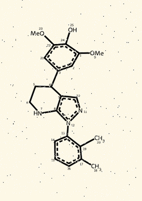 COc1cc(C2CCNc3c2cnn3-c2cccc(C)c2C)cc(OC)c1O